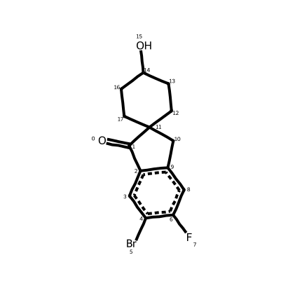 O=C1c2cc(Br)c(F)cc2CC12CCC(O)CC2